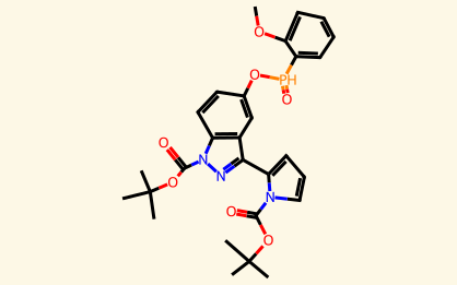 COc1ccccc1[PH](=O)Oc1ccc2c(c1)c(-c1cccn1C(=O)OC(C)(C)C)nn2C(=O)OC(C)(C)C